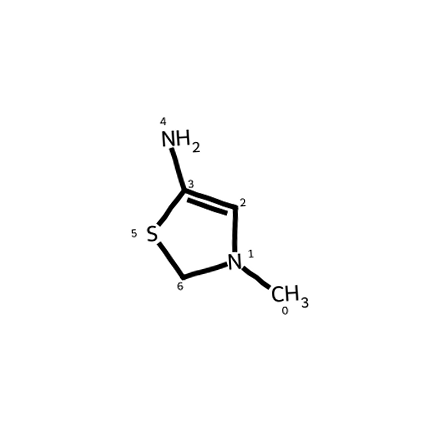 CN1C=C(N)SC1